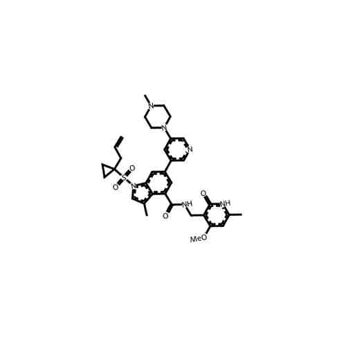 C=CCC1(S(=O)(=O)n2cc(C)c3c(C(=O)NCc4c(OC)cc(C)[nH]c4=O)cc(-c4cncc(N5CCN(C)CC5)c4)cc32)CC1